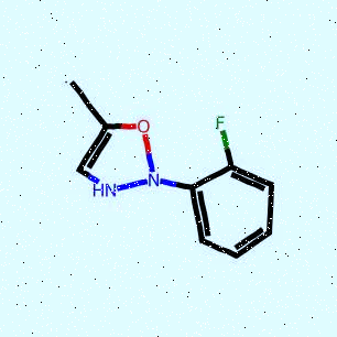 [CH2]C1=CNN(c2ccccc2F)O1